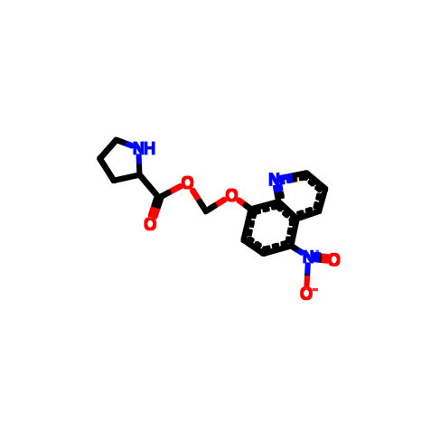 O=C(OCOc1ccc([N+](=O)[O-])c2cccnc12)C1CCCN1